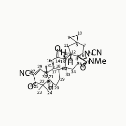 CNS(=O)(=NC#N)[C@]12CCC3(CC3)C[C@H]1[C@H]1C(=O)C=C3C(CC[C@H]4C(C)(C)C(=O)C(C#N)=C[C@]34C)[C@]1(C)CC2